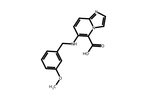 COc1cccc(CNc2ccc3nccn3c2C(=O)O)c1